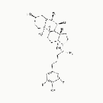 CC[C@@H]1C2C[C@H](O)CCC2(C)[C@H]2CCC3(C)[C@@H]([C@H](C)CCCc4cc(F)c(O)c(F)c4)CC[C@H]3C2[C@@H]1O